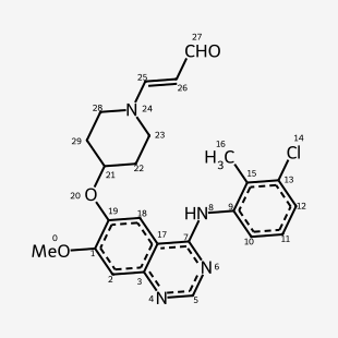 COc1cc2ncnc(Nc3cccc(Cl)c3C)c2cc1OC1CCN(C=CC=O)CC1